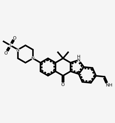 CC1(C)c2cc(N3CCN(S(C)(=O)=O)CC3)ccc2C(=O)c2c1[nH]c1cc(C=N)ccc21